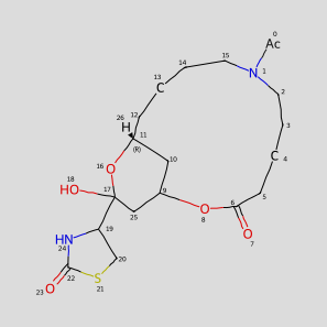 CC(=O)N1CCCCC(=O)OC2C[C@@H](CCCC1)OC(O)(C1CSC(=O)N1)C2